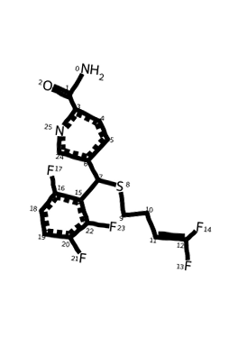 NC(=O)c1ccc(C(SCCC=C(F)F)c2c(F)ccc(F)c2F)cn1